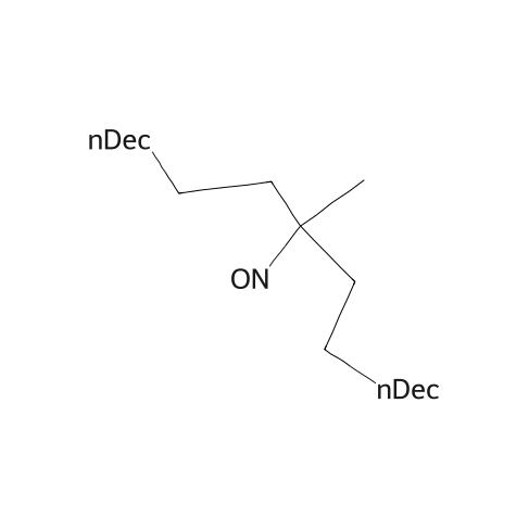 CCCCCCCCCCCCC(C)(CCCCCCCCCCCC)N=O